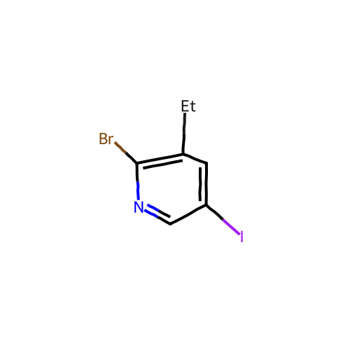 CCc1cc(I)cnc1Br